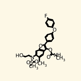 CNC(=O)Oc1c(-c2ccc(Oc3ccc(F)cc3)cc2)oc2cc(N(CCO)S(C)(=O)=O)c(C)cc12